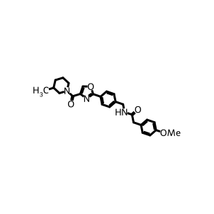 COc1ccc(CC(=O)NCc2ccc(-c3nc(C(=O)N4CCCC(C)C4)co3)cc2)cc1